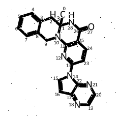 CC12Cc3ccccc3CN1c1nc(-n3ccc4nccnc43)ccc1C(=O)N2